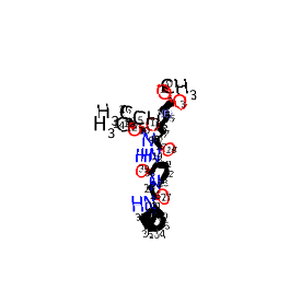 COC(=O)/C=C/CC[C@H](NC(=O)OC(C)(C)C)C(=O)Nc1cccn(CC(=O)NC2C3CC4CC(C3)C2C4)c1=O